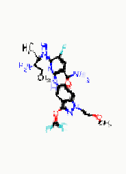 CC[C@H](N)[C@@H](C)Nc1nc(Nc2ccc3c(c2)c(OC(F)F)nn3CCOC)c(C(N)=O)cc1F